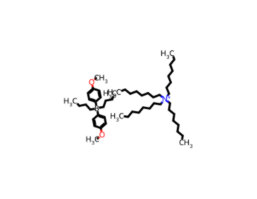 CCCCCCCC[N+](CCCCCCCC)(CCCCCCCC)CCCCCCCC.CCCC[B-](CCCC)(c1ccc(OC)cc1)c1ccc(OC)cc1